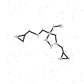 CCO[Si](COCC1CO1)(COCC1CO1)OCC